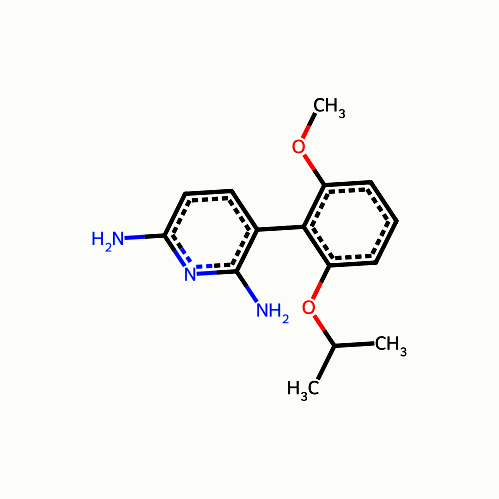 COc1cccc(OC(C)C)c1-c1ccc(N)nc1N